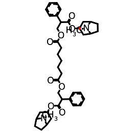 CN1C2CCC1CC(OC(=O)C(COC(=O)CCCCCC(=O)OCC(C(=O)OC1CC3CCC(C1)N3C)c1ccccc1)c1ccccc1)C2